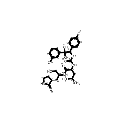 CC(C)CC(NC(=O)OC(c1ccc(Cl)cc1)C(C)(C)c1cccc(Cl)c1)C(=O)NC(CO)C[C@@H]1CCNC1=O